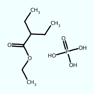 CCOC(=O)C(CC)CC.O=P(O)(O)O